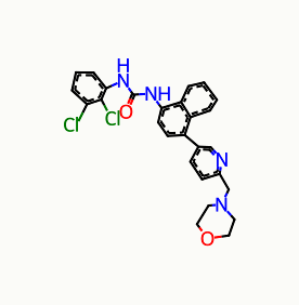 O=C(Nc1cccc(Cl)c1Cl)Nc1ccc(-c2ccc(CN3CCOCC3)nc2)c2ccccc12